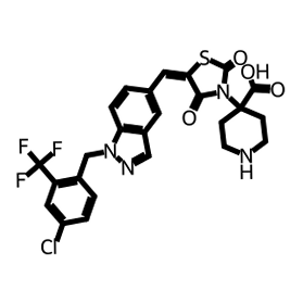 O=C1SC(=Cc2ccc3c(cnn3Cc3ccc(Cl)cc3C(F)(F)F)c2)C(=O)N1C1(C(=O)O)CCNCC1